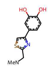 CNCc1nc(-c2ccc(O)c(O)c2)cs1